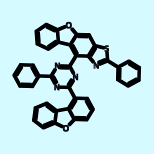 c1ccc(-c2nc(-c3cccc4oc5ccccc5c34)nc(-c3c4nc(-c5ccccc5)sc4cc4oc5ccccc5c34)n2)cc1